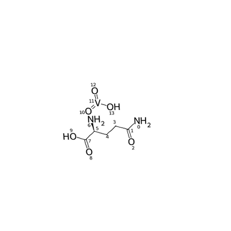 NC(=O)CC[C@H](N)C(=O)O.[O]=[V](=[O])[OH]